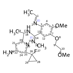 C/C=N/c1cc(OC)c(OCCOC)cc1/C(=N\C)NC(C)c1cc(N)cc(C2(F)CC2)n1